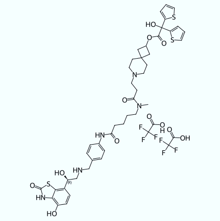 CN(CCCCC(=O)Nc1ccc(CNC[C@H](O)c2ccc(O)c3[nH]c(=O)sc23)cc1)C(=O)CCN1CCC2(CC1)CC(OC(=O)C(O)(c1cccs1)c1cccs1)C2.O=C(O)C(F)(F)F.O=C(O)C(F)(F)F